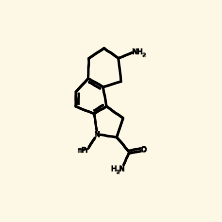 CCCN1c2ccc3c(c2CC1C(N)=O)CC(N)CC3